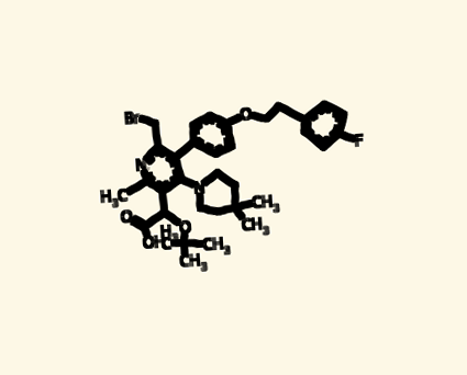 Cc1nc(CBr)c(-c2ccc(OCCc3ccc(F)cc3)cc2)c(N2CCC(C)(C)CC2)c1C(OC(C)(C)C)C(=O)O